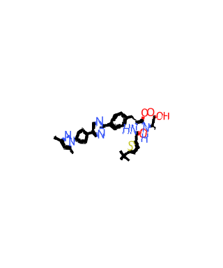 Cc1cc(C)n(-c2ccc(-c3cnc(-c4ccc(C[C@H](NC(=O)c5ccc(C(C)(C)C)s5)C(=O)N[C@H](C)C(=O)O)cc4)nc3)cc2)n1